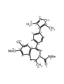 CNC(=O)N1N=C(c2ccc(-c3c(C)noc3C)cc2)c2cc(Cl)c(OC)cc2CC1C